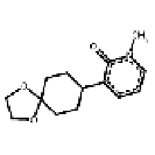 Cn1cccc(C2CCC3(CC2)OCCO3)c1=O